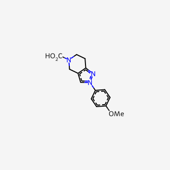 COc1ccc(-n2cc3c(n2)CCN(C(=O)O)C3)cc1